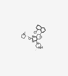 C[C@@H]1CN(c2nc(OC[C@@H]3CCCN3C)nc3c2COC(c2cccc4cccc(Cl)c24)C3)CCN1